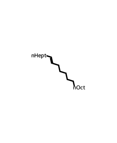 [CH2]CCCCCCC=CCCCCCCCCCCCC[CH2]